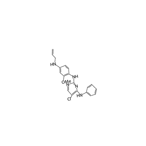 C=CCNc1ccc(Nc2ncc(Cl)c(Nc3ccccc3)n2)c(OC)c1